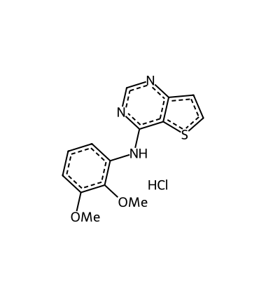 COc1cccc(Nc2ncnc3ccsc23)c1OC.Cl